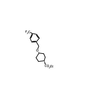 CCOC(=O)[C@H]1CC[C@H](OCc2ccc(C(F)(F)F)cc2)CC1